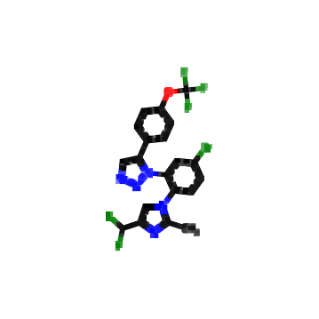 Cc1nc(C(F)F)cn1-c1ccc(Br)cc1-n1nncc1-c1ccc(OC(F)(F)F)cc1